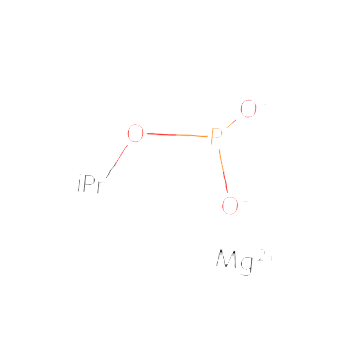 CC(C)OP([O-])[O-].[Mg+2]